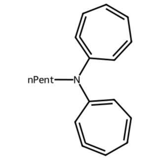 CCCCCN(C1=C=CC=CC=C1)C1=CC=CC=C=C1